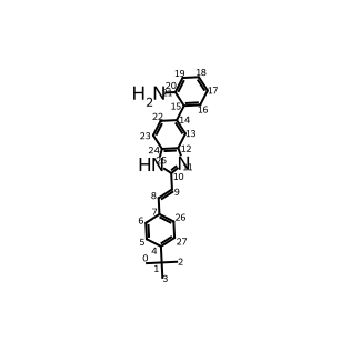 CC(C)(C)c1ccc(C=Cc2nc3cc(-c4ccccc4N)ccc3[nH]2)cc1